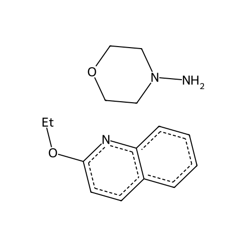 CCOc1ccc2ccccc2n1.NN1CCOCC1